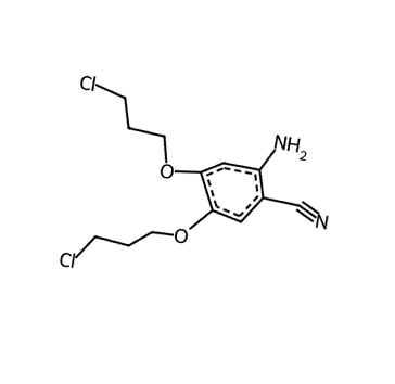 N#Cc1cc(OCCCCl)c(OCCCCl)cc1N